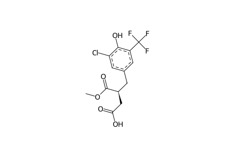 COC(=O)[C@H](CC(=O)O)Cc1cc(Cl)c(O)c(C(F)(F)F)c1